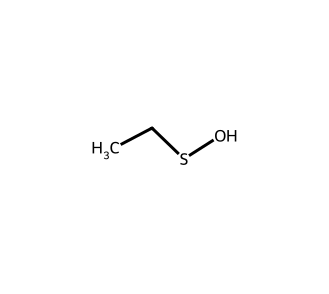 CCSO